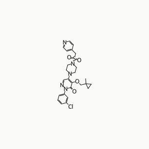 CC1(COc2c(N3CCN(S(=O)(=O)Cc4ccncc4)CC3)cnn(-c3cccc(Cl)c3)c2=O)CC1